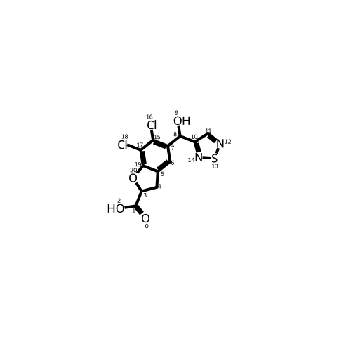 O=C(O)C1Cc2cc(C(O)c3cnsn3)c(Cl)c(Cl)c2O1